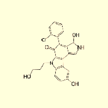 O=C1C(c2ccccc2Cl)=C2C(=CNC2O)c2c1n(CCCO)c1ccc(O)cc21